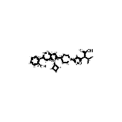 CC(C)C(C(=O)O)c1cc(N2CCC(c3cc4nnc(-c5ccccc5O)cc4n3C3CCC3)CC2)no1